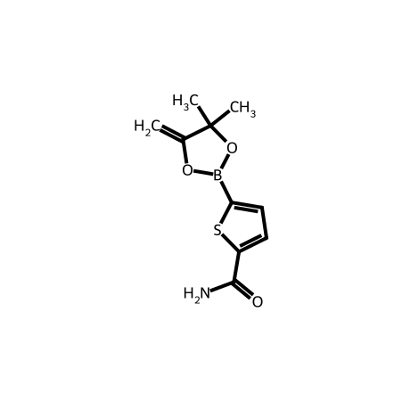 C=C1OB(c2ccc(C(N)=O)s2)OC1(C)C